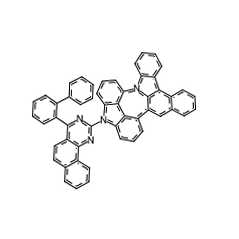 c1ccc(-c2ccccc2-c2nc(-n3c4cccc5c6cc7ccccc7c7c8ccccc8n(c8cccc3c8c54)c67)nc3c2ccc2ccccc23)cc1